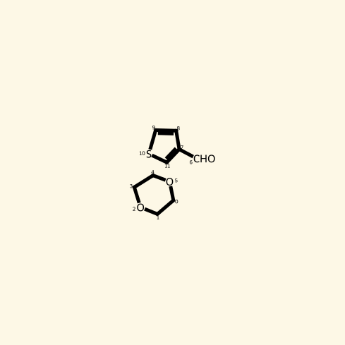 C1COCCO1.O=Cc1ccsc1